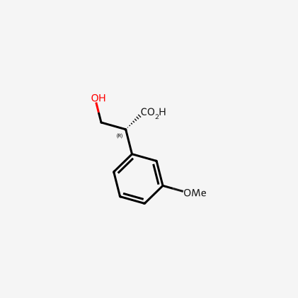 COc1cccc([C@H](CO)C(=O)O)c1